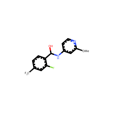 COc1cc(NC(O)c2ccc(C(F)(F)F)cc2F)ccn1